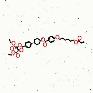 C=CC(=O)OCCCCCCOc1ccc(C(=O)O[C@H]2CC[C@H](c3ccc(C4O[C@@H](C(=O)OCC)[C@H](C(=O)OCC)O4)cc3)CC2)cc1